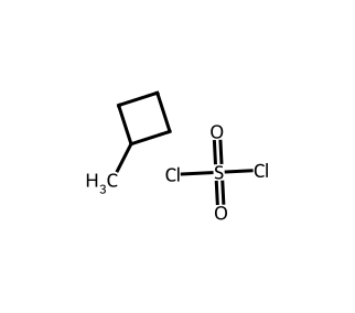 CC1CCC1.O=S(=O)(Cl)Cl